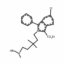 CCCCN(C)CCC(C)(C)CCn1c(C(=O)OCC)c2ccc(Cl)cc2c1-c1ccccc1